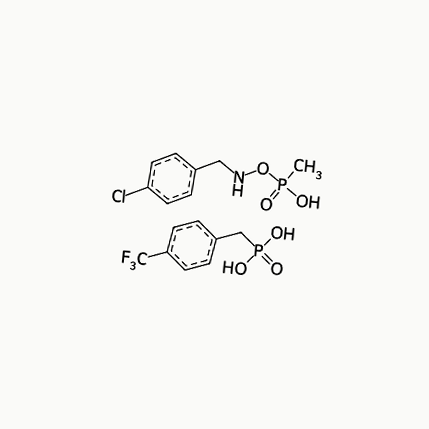 CP(=O)(O)ONCc1ccc(Cl)cc1.O=P(O)(O)Cc1ccc(C(F)(F)F)cc1